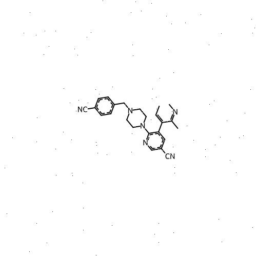 C/C=C(\C(C)=N/C)c1cc(C#N)cnc1N1CCN(Cc2ccc(C#N)cc2)CC1